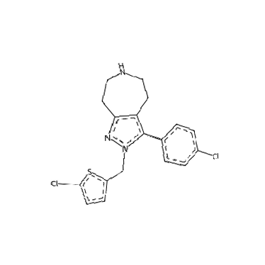 Clc1ccc(-c2c3c(nn2Cc2ccc(Cl)s2)CCNCC3)cc1